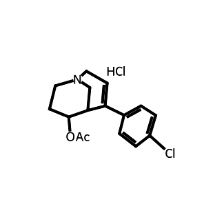 CC(=O)OC1CCN2CC=C(c3ccc(Cl)cc3)C1C2.Cl